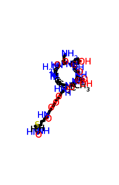 CC(C)[C@@H]1NC(=O)[C@H](CCC(=O)O)NC(=O)CNC(=O)[C@H](Cc2ccc(O)cc2)NC(=O)[C@H](CCCCN)NC(=O)[C@@H](N)Cc2cn(nn2)CCCC[C@@H](C(=O)NCCCOCCOCCOCCCNC(=O)CCCCC2SC[C@H]3NC(=O)N[C@@H]23)NC1=O